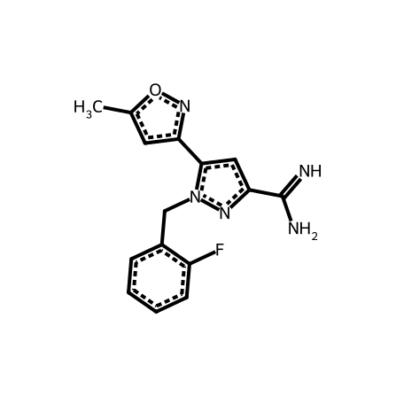 Cc1cc(-c2cc(C(=N)N)nn2Cc2ccccc2F)no1